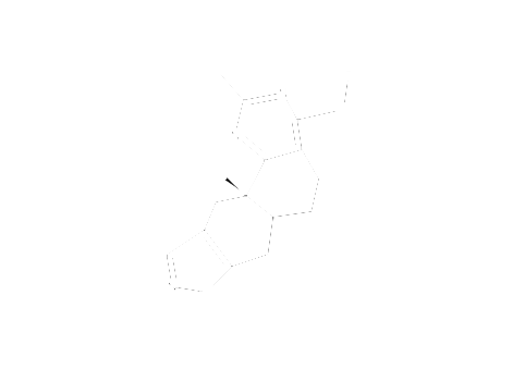 CCOc1nc(C)nc2c1CC[C@H]1[C@H](C)c3oncc3C[C@]21C